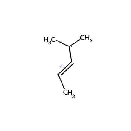 C/C=C/[C](C)C